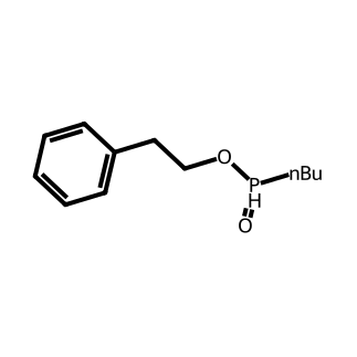 CCCC[PH](=O)OCCc1ccccc1